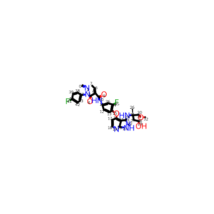 C=NN(C(=O)/C(=C\C)C(=O)Nc1ccc(Oc2ccnc3[nH]nc(N[C@@](C)(CCO)COC)c23)c(F)c1)c1ccc(F)cc1